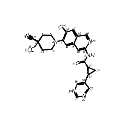 CC1(C#N)CCN(c2cc3cc(NC(=O)C4CC4c4cncnc4)ncc3cc2Cl)CC1